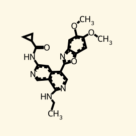 CCNc1ncc(-c2nc3cc(OC)c(OC)cc3o2)c2cc(NC(=O)C3CC3)ncc12